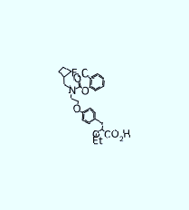 CCOC(Cc1ccc(OCCN(CC2CCC2)C(=O)Oc2ccccc2C(F)(F)F)cc1)C(=O)O